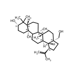 C=C(C)[C@@H]1CC[C@]2(CO)CC[C@]3(C)[C@H](CCC4[C@@]5(C)CC[C@H](O)C(C)(C)[C@@H]5CC[C@]43C)[C@@H]12